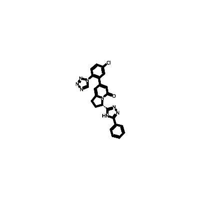 O=c1cc(-c2cc(Cl)ccc2-n2cnnn2)cc2n1[C@H](c1nnc(-c3cc[c]cc3)[nH]1)CC2